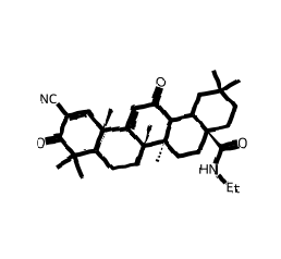 CCNC(=O)[C@]12CCC(C)(C)CC1C1C(=O)C=C3[C@@]4(C)C=C(C#N)C(=O)C(C)(C)C4CC[C@@]3(C)[C@]1(C)CC2